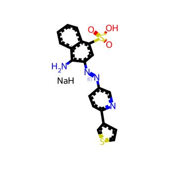 Nc1c(/N=N/c2ccc(-c3ccsc3)nc2)cc(S(=O)(=O)O)c2ccccc12.[NaH]